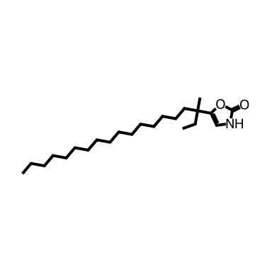 CCCCCCCCCCCCCCCCC(C)(CC)c1c[nH]c(=O)o1